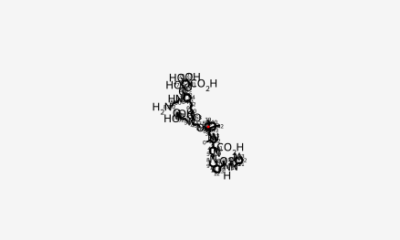 Cc1c(-c2ccc(N3CCc4cccc(C(=O)Nc5nc6cccnc6s5)c4C3)nc2C(=O)O)cnn1CC12CC3(C)CC(C)(C1)CC(OCCN(CCCP(=O)(O)O)C(=O)OC/C=C/c1ccc(O[C@@H]4O[C@H](C(=O)O)[C@@H](O)[C@H](O)[C@H]4O)c(NCCCN)c1)(C3)C2